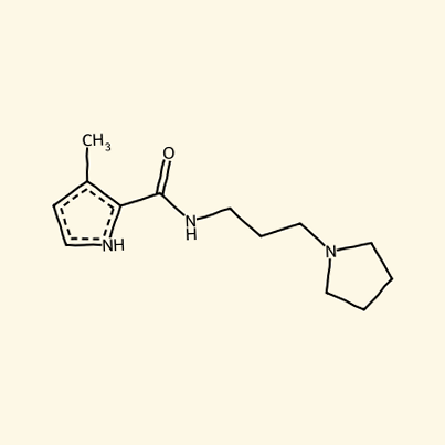 Cc1cc[nH]c1C(=O)NCCCN1CCCC1